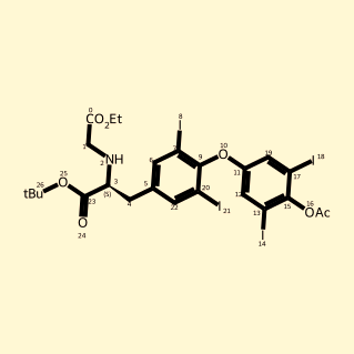 CCOC(=O)CN[C@@H](Cc1cc(I)c(Oc2cc(I)c(OC(C)=O)c(I)c2)c(I)c1)C(=O)OC(C)(C)C